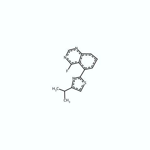 CC(C)c1csc(-c2cccc3n[c]nc(F)c23)n1